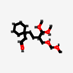 COCOCC(CCC1(CC=O)CCCCC1)C(OC)OC